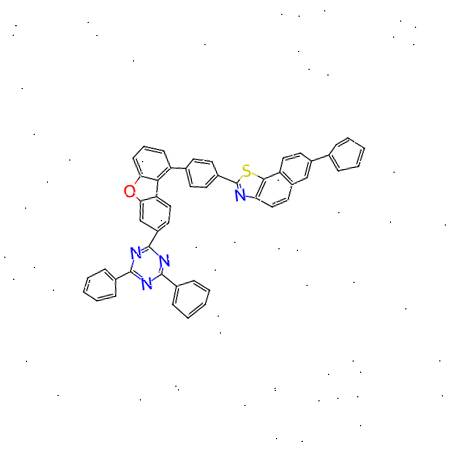 c1ccc(-c2ccc3c(ccc4nc(-c5ccc(-c6cccc7oc8cc(-c9nc(-c%10ccccc%10)nc(-c%10ccccc%10)n9)ccc8c67)cc5)sc43)c2)cc1